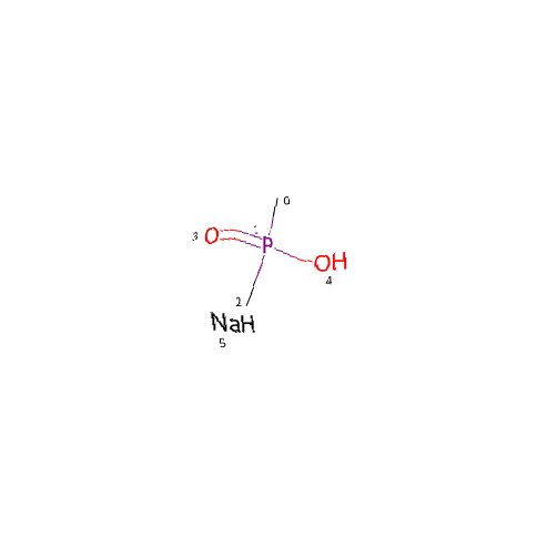 CP(C)(=O)O.[NaH]